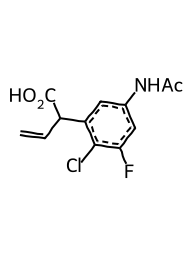 C=CC(C(=O)O)c1cc(NC(C)=O)cc(F)c1Cl